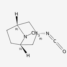 CN1[C@@H]2CC[C@H]1C[C@@H](N=C=O)C2